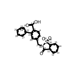 O=C(O)c1ccc(CN2C(=O)c3ccccc3S2(=O)=O)cc1-c1ccccc1